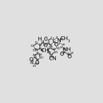 Cc1cc(CN(C)CCCNC(=O)C2CO2)c(OCc2cccc(C#N)c2)cc1OCc1cccc(-c2ccc3c(c2)OCCO3)c1C